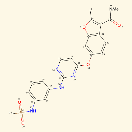 CNC(=O)c1c(C)oc2cc(Oc3ccnc(Nc4cccc(NS(C)(=O)=O)c4)n3)ccc12